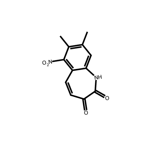 Cc1cc2[nH]c(=O)c(=O)ccc2c([N+](=O)[O-])c1C